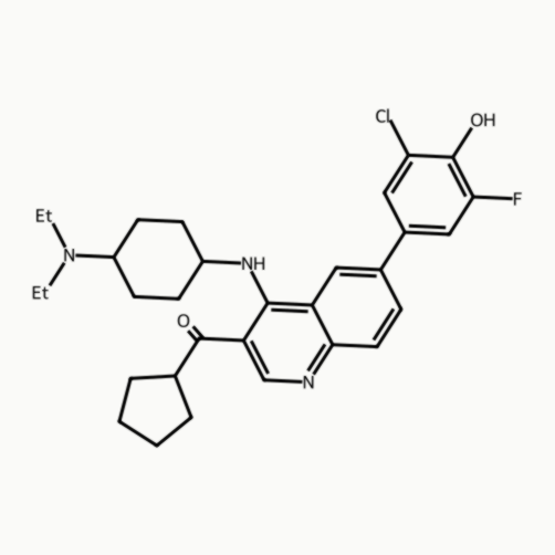 CCN(CC)C1CCC(Nc2c(C(=O)C3CCCC3)cnc3ccc(-c4cc(F)c(O)c(Cl)c4)cc23)CC1